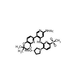 CO[C@H]1CCN(c2ccc(S(C)(=O)=O)nc2Nc2cc(NC(C)=O)ncc2-c2ccc3c(n2)OCC(C)(C)O3)C1